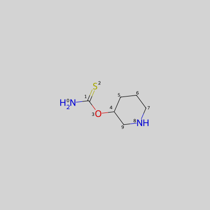 NC(=S)OC1CCCNC1